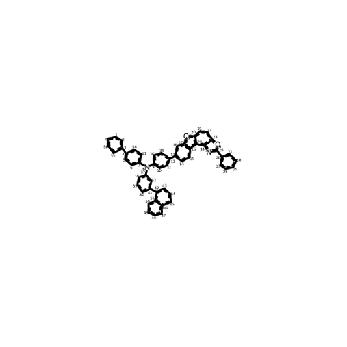 c1ccc(-c2ccc(N(c3ccc(-c4ccc5c(c4)oc4ccc6oc(-c7ccccc7)nc6c45)cc3)c3cccc(-c4cccc5ccccc45)c3)cc2)cc1